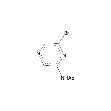 CC(=O)Nc1cncc(Br)n1